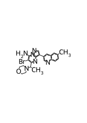 Cc1ccc2ncc(-c3cnn4c(N)c(Br)c(C(C)N5CCOCC5)nc34)cc2c1